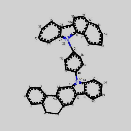 c1ccc2c(c1)CCc1cc3c4ccccc4n(-c4ccc(-n5c6ccccc6c6ccc7ccccc7c65)cc4)c3cc1-2